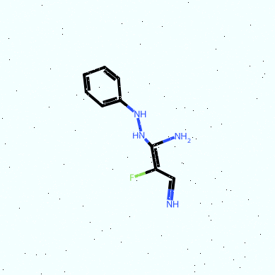 N=C/C(F)=C(\N)NNc1ccccc1